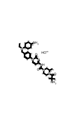 CCN(Cc1ccc(-n2ccc(NC(=O)N3CCN(C(=O)C(C)(C)N)C(C)C3)nc2=O)cc1)C1CCC(N)CC1.Cl